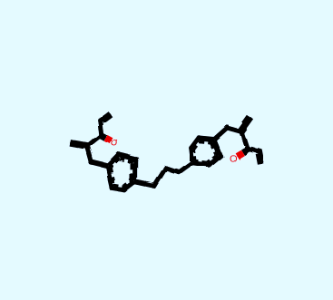 C=CC(=O)C(=C)Cc1ccc(CCCc2ccc(CC(=C)C(=O)C=C)cc2)cc1